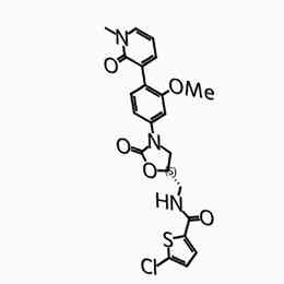 COc1cc(N2C[C@H](CNC(=O)c3ccc(Cl)s3)OC2=O)ccc1-c1cccn(C)c1=O